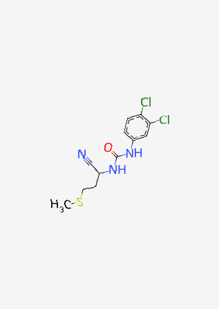 CSCCC(C#N)NC(=O)Nc1ccc(Cl)c(Cl)c1